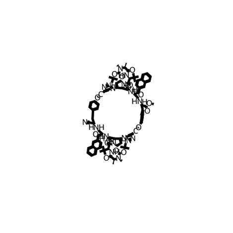 COC(=O)[C@H]1NC(=O)[C@H](Cc2ccc3ccccc3c2)NC(=O)[C@@H]2[C@@H](CCN2C(=O)[C@@H](NC(=O)[C@H](C)N(C)C(=O)OC(C)(C)C)C(C)(C)C)n2cc(nn2)COc2ccc(cc2)C[C@@H](C#N)NC(=O)[C@H](Cc2ccc3ccccc3c2)NC(=O)[C@@H]2[C@@H](CCN2C(=O)[C@@H](NC(=O)[C@H](C)N(C)C(=O)OC(C)(C)C)C(C)(C)C)n2cc(nn2)COc2ccc1cc2